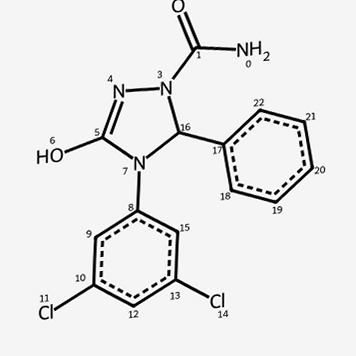 NC(=O)N1N=C(O)N(c2cc(Cl)cc(Cl)c2)C1c1ccccc1